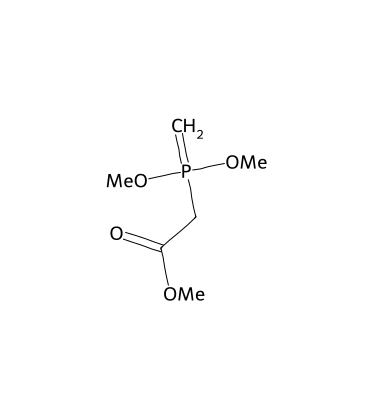 C=P(CC(=O)OC)(OC)OC